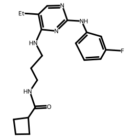 CCc1cnc(Nc2cccc(F)c2)nc1NCCCNC(=O)C1CCC1